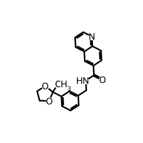 CC1(c2cccc(CNC(=O)c3ccc4ncccc4c3)c2)OCCO1